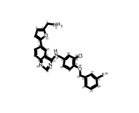 NCc1ccc(-c2ccc3ncnc(Nc4ccc(OCc5cccc(F)c5)c(Cl)c4)c3c2)o1